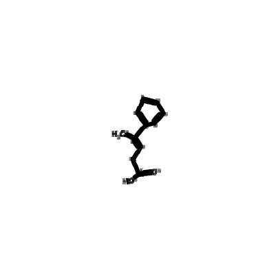 CC(=CCC(=O)O)c1ccccc1